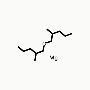 CCCC(C)COCC(C)CCC.[Mg]